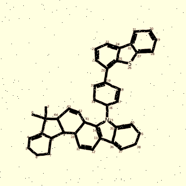 CC1(C)C2=CCCCC2C2C3C=Cc4c(n(C5C=CC(c6cccc7c6sc6ccccc67)=CC5)c5c4=CCCC=5)C3C=CC21